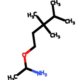 CC(N)OCCC(C)(C)C(C)C